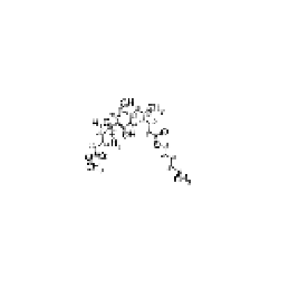 CCCCCCOC(=O)CCCC(C)Cc1cc(O)c(C(C)(C)CCCC(=O)OC)cc1O